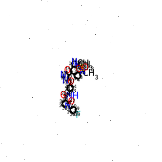 CN(c1cccc(-c2c(-c3cnn(C)c3)oc3ncnc(Oc4ccc(NC(=O)c5cccn(-c6ccc(F)cc6)c5=O)cc4)c23)c1)S(C)(=O)=O